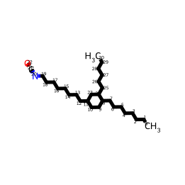 CCCCCCCCC1CCC(CCCCCCCCN=C=O)CC1CCCCCC